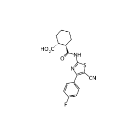 N#Cc1sc(NC(=O)[C@@H]2CCCC[C@H]2C(=O)O)nc1-c1ccc(F)cc1